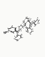 N#Cc1cccc(N(c2ccccc2)c2ccc(-c3c4ccccc4c(-c4ccccc4)c4ccccc34)cc2)n1